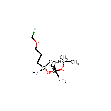 C[SiH](C)O[Si](C)(C)O[Si](C)(C)CCCOCF